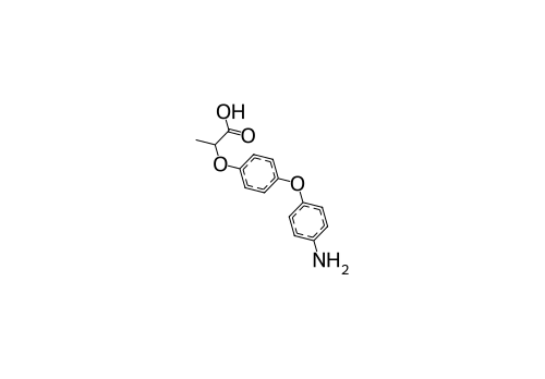 CC(Oc1ccc(Oc2ccc(N)cc2)cc1)C(=O)O